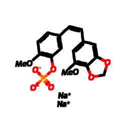 COc1ccc(/C=C\c2cc(OC)c3c(c2)OCO3)cc1OP(=O)([O-])[O-].[Na+].[Na+]